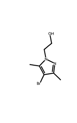 Cc1nn(CCO)c(C)c1Br